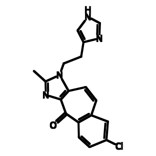 Cc1nc2c(=O)c3ccc(Cl)cc3ccc2n1CCc1c[nH]cn1